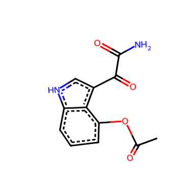 CC(=O)Oc1cccc2[nH]cc(C(=O)C(N)=O)c12